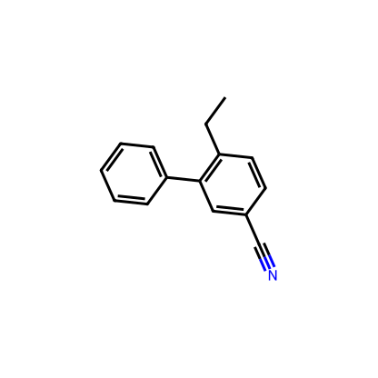 CCc1ccc(C#N)cc1-c1ccccc1